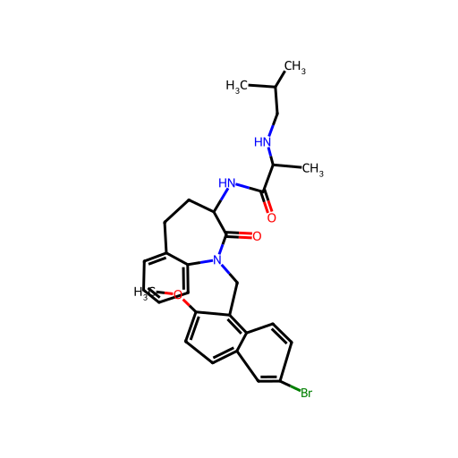 COc1ccc2cc(Br)ccc2c1CN1C(=O)C(NC(=O)C(C)NCC(C)C)CCc2ccccc21